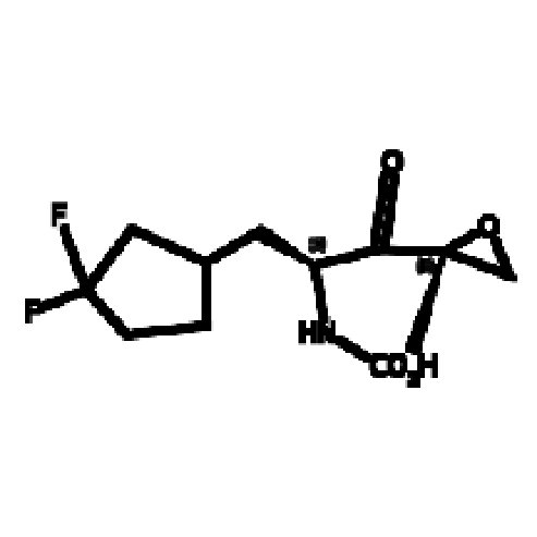 C[C@]1(C(=O)[C@H](CC2CCC(F)(F)C2)NC(=O)O)CO1